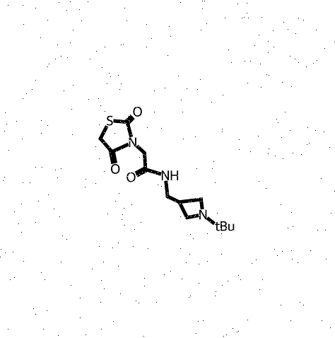 CC(C)(C)N1CC(CNC(=O)CN2C(=O)CSC2=O)C1